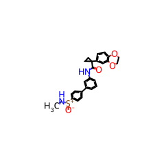 CN[S+]([O-])c1ccc(-c2cccc(NC(=O)C3(c4ccc5c(c4)OCCO5)CC3)c2)cc1